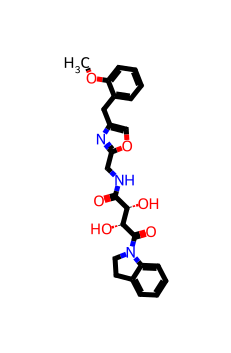 COc1ccccc1Cc1coc(CNC(=O)[C@H](O)[C@@H](O)C(=O)N2CCc3ccccc32)n1